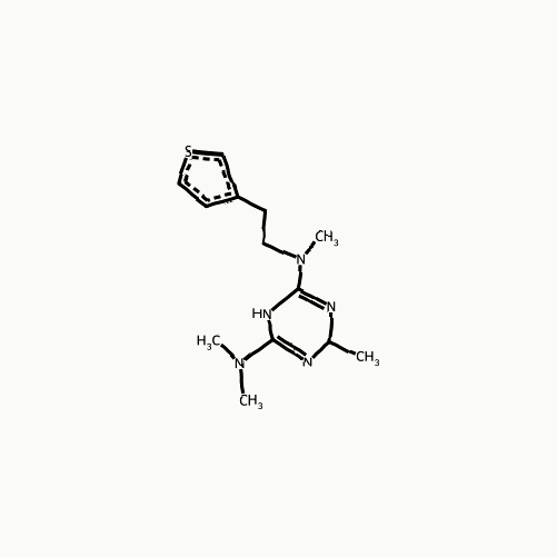 CC1N=C(N(C)C)NC(N(C)CCc2ccsc2)=N1